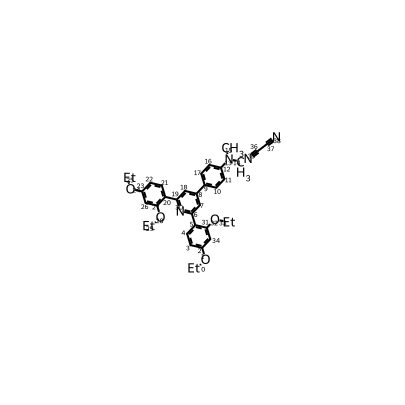 CCOc1ccc(-c2cc(-c3ccc(N(C)C)cc3)cc(-c3ccc(OCC)cc3OCC)n2)c(OCC)c1.N#CC#N